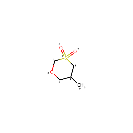 CC1COCS(=O)(=O)C1